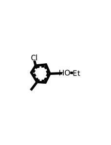 CCO.Cc1cc(C)cc(Cl)c1